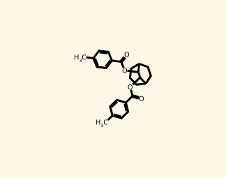 Cc1ccc(C(=O)OC2C3CCCC(CC3)C2OC(=O)c2ccc(C)cc2)cc1